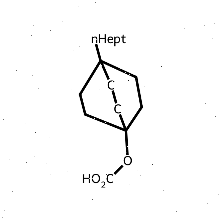 CCCCCCCC12CCC(OC(=O)O)(CC1)CC2